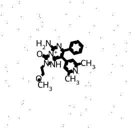 COCCn1[nH]c2c(-c3cc(C)nc(C)c3)c(-c3ccccc3)nc(N)[n+]2c1=O